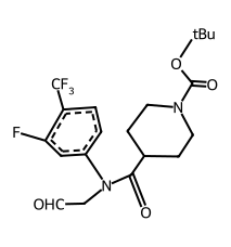 CC(C)(C)OC(=O)N1CCC(C(=O)N(CC=O)c2ccc(C(F)(F)F)c(F)c2)CC1